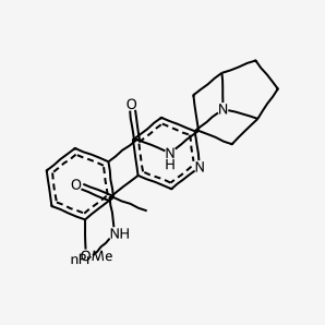 CCCNC(=O)c1ccc(N2C3CCC2CC(NC(=O)c2cccc(OC)c2C)C3)nc1